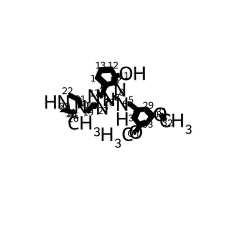 COc1cc(CNc2nc3c(O)cccc3c3nc(CN4CCNC[C@H]4C)nn23)cc(OC)c1